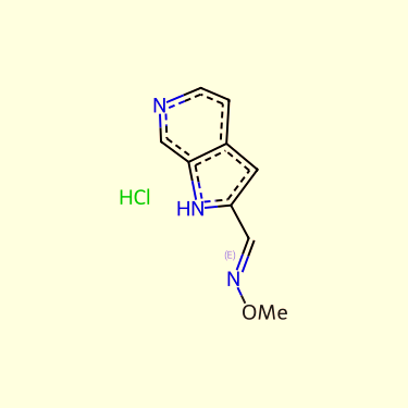 CO/N=C/c1cc2ccncc2[nH]1.Cl